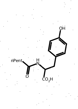 CCCCCC(=O)NC(Cc1ccc(O)cc1)C(=O)O